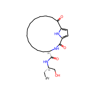 CC(C)C[C@@H](CO)NC(=O)[C@@H]1CCCCCCCCCCCC(=O)c2ccc([nH]2)C(=O)N1